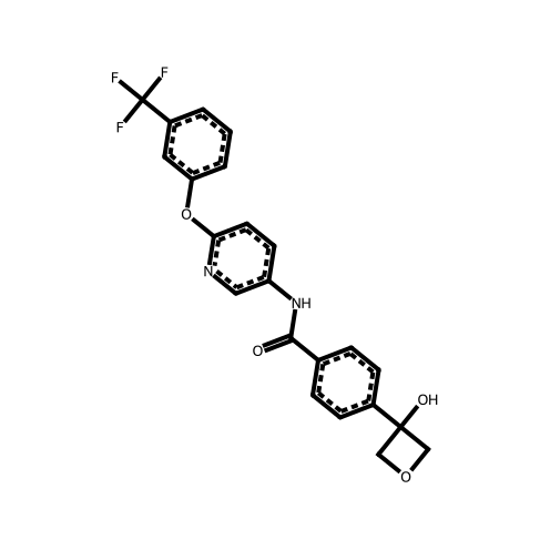 O=C(Nc1ccc(Oc2cccc(C(F)(F)F)c2)nc1)c1ccc(C2(O)COC2)cc1